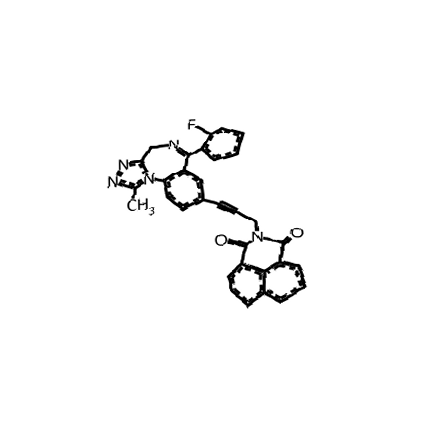 Cc1nnc2n1-c1ccc(C#CCN3C(=O)c4cccc5cccc(c45)C3=O)cc1C(c1ccccc1F)=NC2